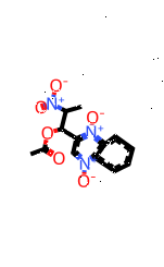 CC(=O)OC(c1c[n+]([O-])c2ccccc2[n+]1[O-])C(C)[N+](=O)[O-]